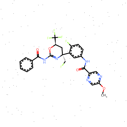 COc1cnc(C(=O)Nc2ccc(F)c([C@]3(CF)C[C@H](C(F)(F)F)OC(NC(=O)c4ccccc4)=N3)c2)cn1